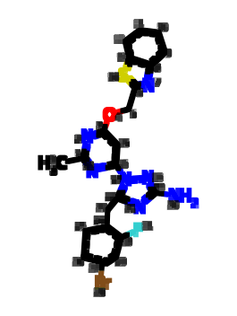 Cc1nc(OCc2nc3ccccc3s2)cc(-n2nc(N)nc2Cc2ccc(Br)cc2F)n1